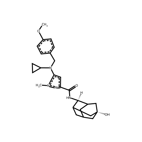 COc1ccc(CN(c2cc(C(=O)N[C@H]3C4CC5CC3C[C@](O)(C5)C4)nn2C)C2CC2)cc1